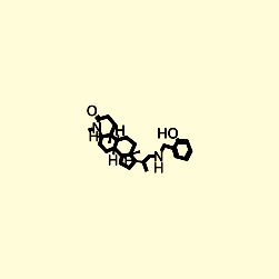 CC(CNCc1ccccc1O)[C@H]1CC[C@H]2[C@@H]3CC[C@H]4N(C)C(=O)CC[C@]4(C)[C@H]3CC[C@]12C